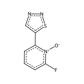 [O-][n+]1c(F)cccc1-c1cnns1